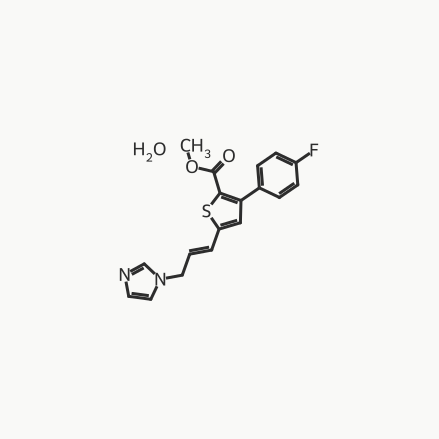 COC(=O)c1sc(C=CCn2ccnc2)cc1-c1ccc(F)cc1.O